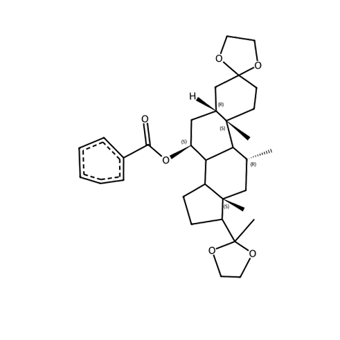 C[C@@H]1C[C@@]2(C)C(CCC2C2(C)OCCO2)C2C1[C@@]1(C)CCC3(C[C@H]1C[C@@H]2OC(=O)c1ccccc1)OCCO3